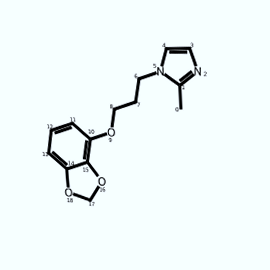 Cc1nccn1CCCOc1cccc2c1OCO2